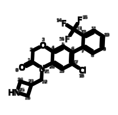 O=C1COc2cc(-c3ccccc3C(F)(F)F)c(Cl)cc2N1CC1CNC1